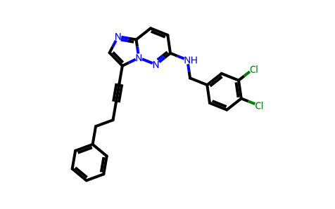 Clc1ccc(CNc2ccc3ncc(C#CCCc4ccccc4)n3n2)cc1Cl